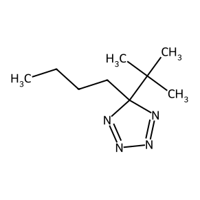 CCCCC1(C(C)(C)C)N=NN=N1